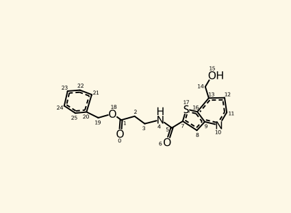 O=C(CCNC(=O)c1cc2nccc(CO)c2s1)OCc1ccccc1